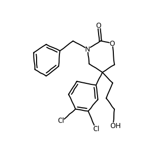 O=C1OCC(CCCO)(c2ccc(Cl)c(Cl)c2)CN1Cc1ccccc1